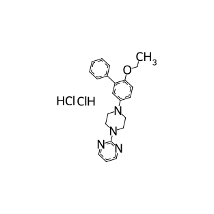 CCOc1ccc(N2CCN(c3ncccn3)CC2)cc1-c1ccccc1.Cl.Cl